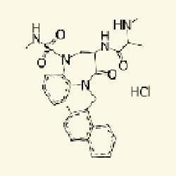 CNC(C)C(=O)NC1CN(S(=O)(=O)NC)c2ccccc2N(Cc2c(C)ccc3ccccc23)C1=O.Cl